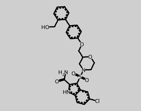 NC(=O)c1[nH]c2ccc(Cl)cc2c1S(=O)(=O)N1CCOC(COc2ccc(-c3ccccc3CO)cc2)C1